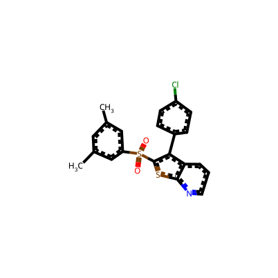 Cc1cc(C)cc(S(=O)(=O)c2sc3ncccc3c2-c2ccc(Cl)cc2)c1